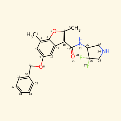 Cc1oc2c(C)cc(OCc3ccccc3)cc2c1C(=O)NC1CNCC1(F)F